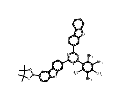 Bc1c(B)c(B)c(-c2nc(-c3ccc4c(c3)oc3ccccc34)nc(-c3ccc4c(c3)oc3ccc(B5OC(C)(C)C(C)(C)O5)cc34)n2)c(B)c1B